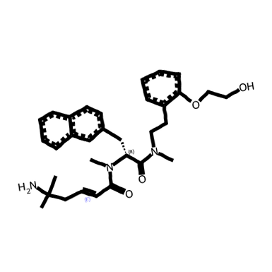 CN(CCc1ccccc1OCCO)C(=O)[C@@H](Cc1ccc2ccccc2c1)N(C)C(=O)/C=C/CC(C)(C)N